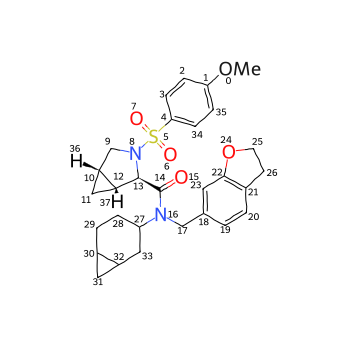 COc1ccc(S(=O)(=O)N2C[C@H]3C[C@H]3[C@@H]2C(=O)N(Cc2ccc3c(c2)OCC3)C2CCC3CC3C2)cc1